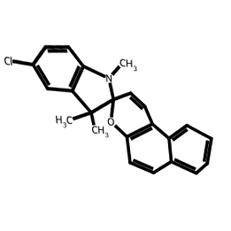 CN1c2ccc(Cl)cc2C(C)(C)C12C=Cc1c(ccc3ccccc13)O2